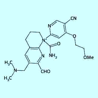 COCCOc1cc([N+]2(C(N)=O)CCCc3cc(CN(C)C)c(C=O)nc32)ncc1C#N